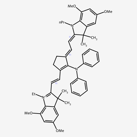 CCCN1/C(=C/C=C2\CCC(/C=C/C3=[N+](CC)c4c(OC)cc(OC)cc4C3(C)C)=C2N(c2ccccc2)c2ccccc2)C(C)(C)c2cc(OC)cc(OC)c21